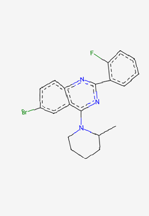 CC1CCCCN1c1nc(-c2ccccc2F)nc2ccc(Br)cc12